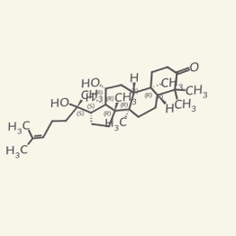 CC(C)=CCC[C@](C)(O)[C@H]1CC[C@]2(C)[C@@H]1[C@H](O)C[C@@H]1[C@@]3(C)CCC(=O)C(C)(C)[C@@H]3CC[C@]12C